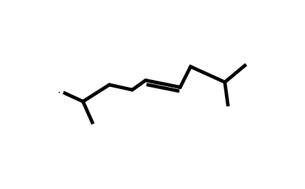 [CH2]C(C)CCC=CCC(C)C